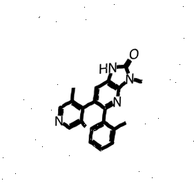 Cc1ccccc1-c1nc2c(cc1-c1c(C)cncc1C)[nH]c(=O)n2C